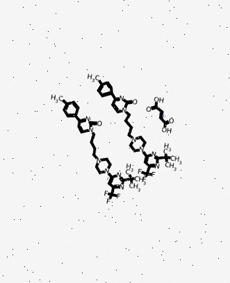 Cc1ccc(-c2ccn(CCCCN3CCN(c4cc(C(F)(F)F)nc(C(C)(C)C)n4)CC3)c(=O)n2)cc1.Cc1ccc(-c2ccn(CCCCN3CCN(c4cc(C(F)(F)F)nc(C(C)(C)C)n4)CC3)c(=O)n2)cc1.O=C(O)/C=C/C(=O)O